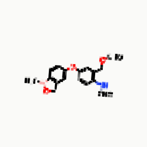 CB1OCc2cc(Oc3ccc(NC=O)c(COC=O)c3)ccc21